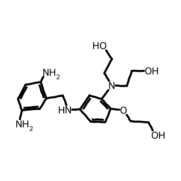 Nc1ccc(N)c(CNc2ccc(OCCO)c(N(CCO)CCO)c2)c1